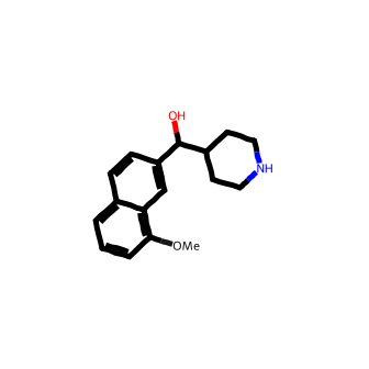 COc1cccc2ccc(C(O)C3CCNCC3)cc12